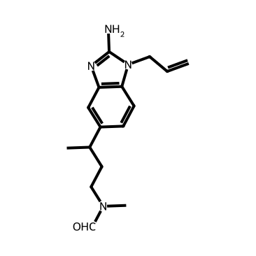 C=CCn1c(N)nc2cc(C(C)CCN(C)C=O)ccc21